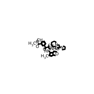 Cc1cc2coccc-2c1NC(N[C@H]1CCCCN(CC(=O)N2CCCC2)C1=O)=C(C#N)C(=O)c1cccc(C(=O)N(C)C)c1